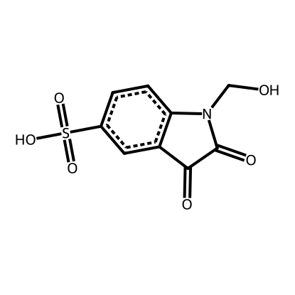 O=C1C(=O)N(CO)c2ccc(S(=O)(=O)O)cc21